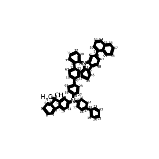 CC1(C)c2ccccc2-c2ccc(N(C3=CC=C(c4ccccc4)CC3)c3ccc(-c4ccc(-c5ccccc5-n5c6ccccc6c6ccc(-c7cccc8ccccc78)cc65)cc4)cc3)cc21